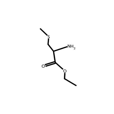 CCOC(=O)C(N)CSC